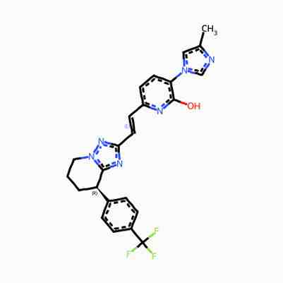 Cc1cn(-c2ccc(/C=C/c3nc4n(n3)CCC[C@@H]4c3ccc(C(F)(F)F)cc3)nc2O)cn1